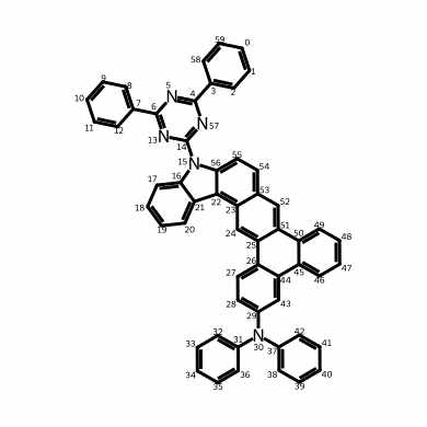 c1ccc(-c2nc(-c3ccccc3)nc(-n3c4ccccc4c4c5cc6c7ccc(N(c8ccccc8)c8ccccc8)cc7c7ccccc7c6cc5ccc43)n2)cc1